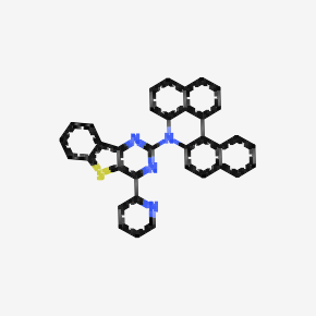 c1ccc(-c2nc(N3c4ccc5ccccc5c4-c4cccc5cccc3c45)nc3c2sc2ccccc23)nc1